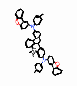 Cc1ccc(N(c2ccc3c(c2)[Si](C)(C)c2cccc4c2c-3cc2ccc(N(c3ccc(C)cc3)c3ccc5oc6ccccc6c5c3)cc24)c2ccc3oc4ccccc4c3c2)cc1